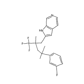 CC(C)(CC(C)(Cc1cc2ccncc2[nH]1)C(F)(F)F)c1cccc(F)c1